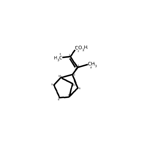 CC(C(=O)O)=C(C)C1CC2CCC1C2